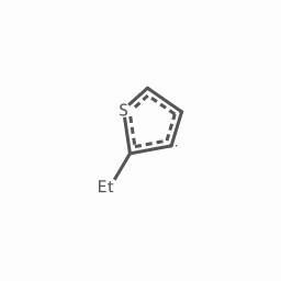 CCc1[c]ccs1